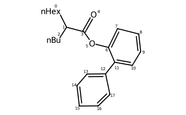 CCCCCCC(CCCC)C(=O)Oc1ccccc1-c1ccccc1